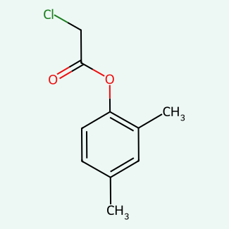 Cc1ccc(OC(=O)CCl)c(C)c1